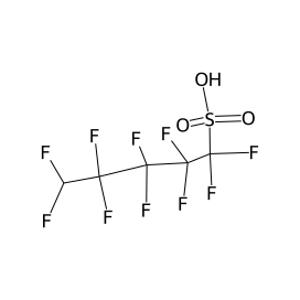 O=S(=O)(O)C(F)(F)C(F)(F)C(F)(F)C(F)(F)C(F)F